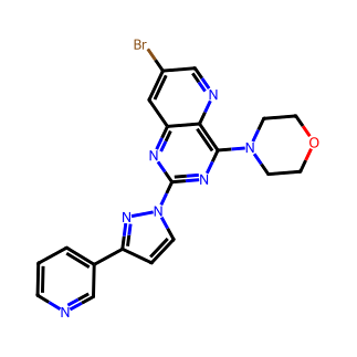 Brc1cnc2c(N3CCOCC3)nc(-n3ccc(-c4cccnc4)n3)nc2c1